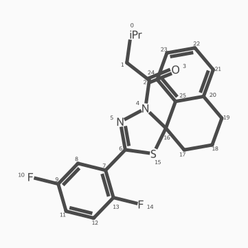 CC(C)CC(=O)N1N=C(c2cc(F)ccc2F)SC12CCCc1ccccc12